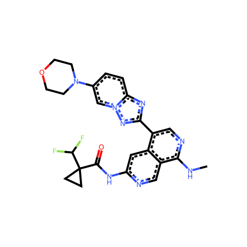 CNc1ncc(-c2nc3ccc(N4CCOCC4)cn3n2)c2cc(NC(=O)C3(C(F)F)CC3)ncc12